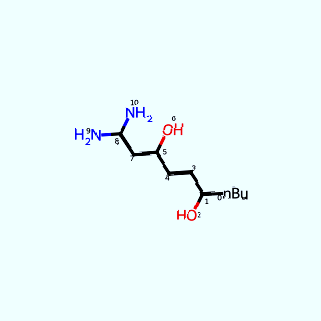 CCCCC(O)CCC(O)CC(N)N